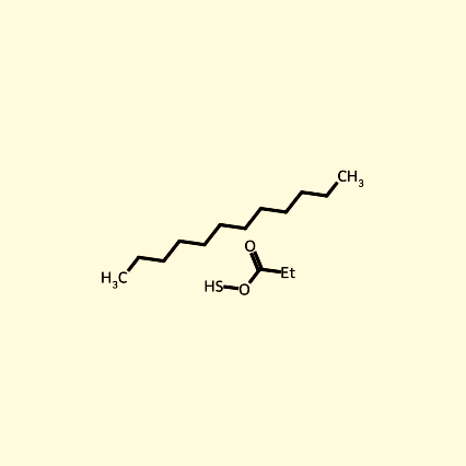 CCC(=O)OS.CCCCCCCCCCCC